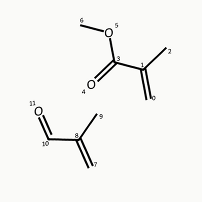 C=C(C)C(=O)OC.C=C(C)C=O